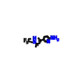 C[C@H](C[C@@H](C)c1ccc(N)nc1)NCC(F)(F)F